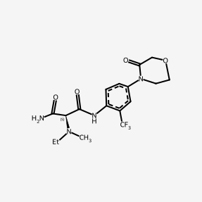 CCN(C)[C@@H](C(N)=O)C(=O)Nc1ccc(N2CCOCC2=O)cc1C(F)(F)F